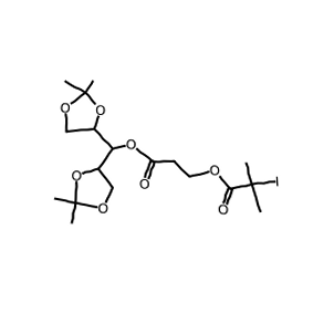 CC1(C)OCC(C(OC(=O)CCOC(=O)C(C)(C)I)C2COC(C)(C)O2)O1